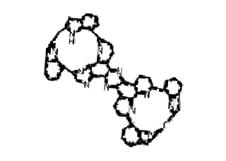 c1cc2c3[nH]c(cc3c1)Cc1cc3cccc(c3[nH]1)-c1cnc3c(n1)c1nc-2ccc1c1nc2c4ccc5nc4c4nc(ccc4c2nc13)c1cccc2cc(cc3cc4cccc5c4[nH]3)nc21